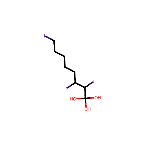 OC(O)(O)C(I)C(I)CCCCCI